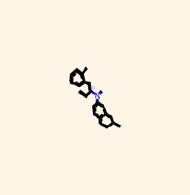 C=C/C(=C\c1ccccc1C)N(C)c1ccc2c(c1)=CC(C)CC=2